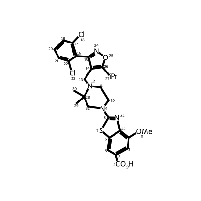 COc1cc(C(=O)O)cc2sc(N3CCN(Cc4c(-c5c(Cl)cccc5Cl)noc4C(C)C)C(C)(C)C3)nc12